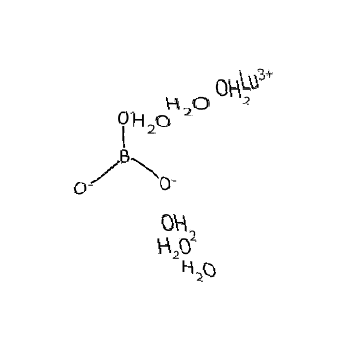 O.O.O.O.O.O.[Lu+3].[O-]B([O-])[O-]